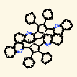 C[Si]1(CC[Si]2(C)C(c3ccc4ccccc4n3)=C(c3ccccc3)C(c3ccccc3)=C2c2ccc3ccccc3n2)C(c2ccc3ccccc3n2)=C(c2ccccc2)C(c2ccccc2)=C1c1ccc2ccccc2n1